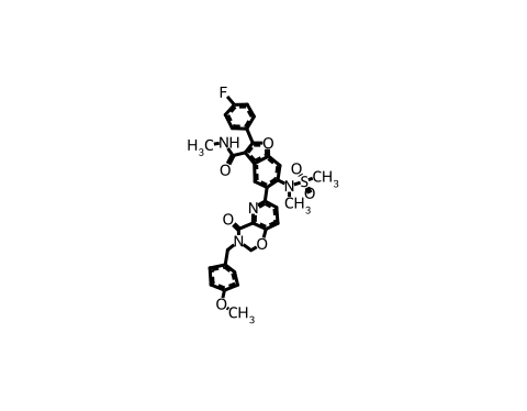 CNC(=O)c1c(-c2ccc(F)cc2)oc2cc(N(C)S(C)(=O)=O)c(-c3ccc4c(n3)C(=O)N(Cc3ccc(OC)cc3)CO4)cc12